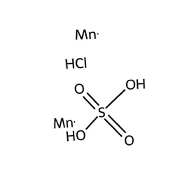 Cl.O=S(=O)(O)O.[Mn].[Mn]